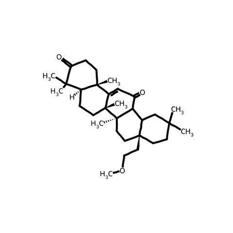 COCC[C@]12CCC(C)(C)CC1C1C(=O)C=C3[C@@]4(C)CCC(=O)C(C)(C)[C@@H]4CC[C@@]3(C)[C@]1(C)CC2